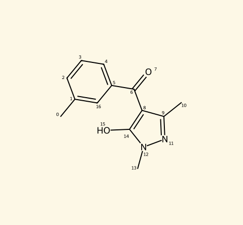 Cc1cccc(C(=O)c2c(C)nn(C)c2O)c1